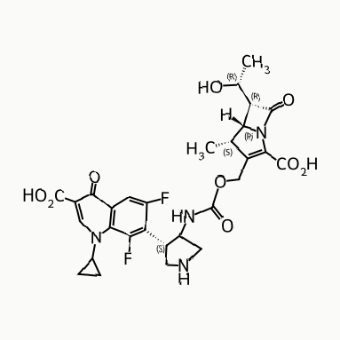 C[C@@H](O)[C@@H]1C(=O)N2C(C(=O)O)=C(COC(=O)NC3CNC[C@@H]3c3c(F)cc4c(=O)c(C(=O)O)cn(C5CC5)c4c3F)[C@H](C)[C@H]12